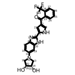 O=C(c1c[nH]c(-c2nc3ccc(N4C[C@H](O)[C@@H](O)C4)cc3[nH]2)c1)c1ccccc1C(F)(F)F